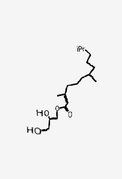 CC(=CC(=O)OCC(O)CO)CCCC(C)CCCC(C)C